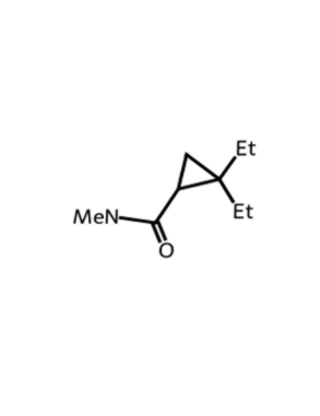 CCC1(CC)CC1C(=O)NC